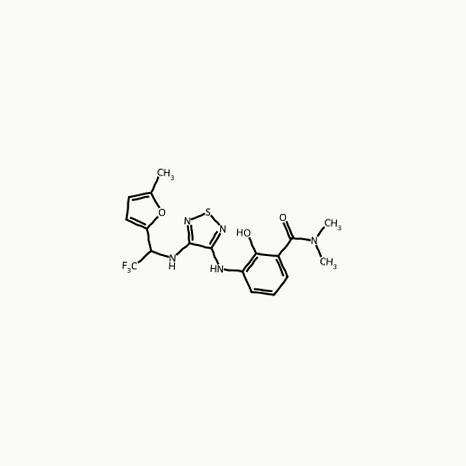 Cc1ccc(C(Nc2nsnc2Nc2cccc(C(=O)N(C)C)c2O)C(F)(F)F)o1